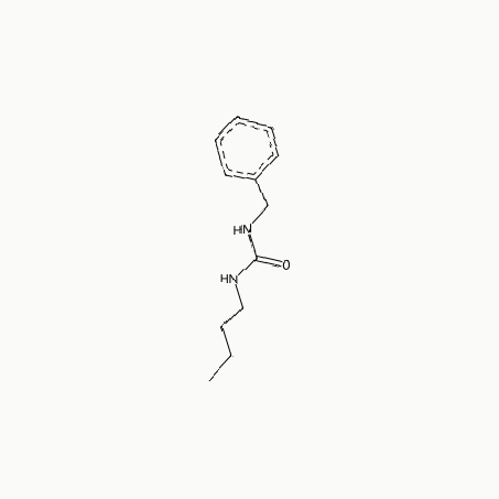 CCCCNC(=O)NCc1ccccc1